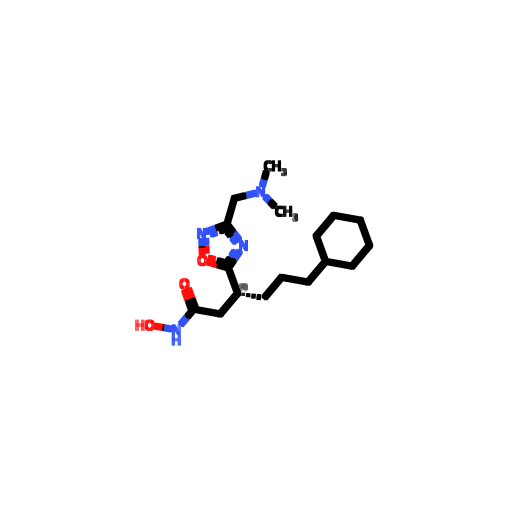 CN(C)Cc1noc([C@H](CCCC2CCCCC2)CC(=O)NO)n1